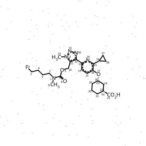 CN(CCCCF)C(=O)OCc1c(-c2ccc(O[C@H]3CCC[C@H](C(=O)O)C3)c(C3CC3)n2)nnn1C